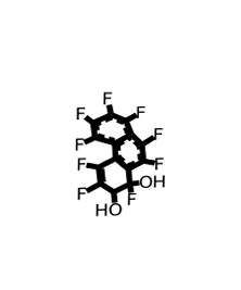 OC1C(F)=C(F)c2c(c(F)c(F)c3c(F)c(F)c(F)c(F)c23)C1(O)F